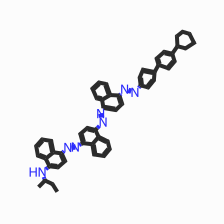 CCC(C)Nc1ccc(N=Nc2ccc(N=Nc3ccc(N=Nc4ccc(-c5ccc(C6CCCCC6)cc5)cc4)c4ccccc34)c3ccccc23)c2ccccc12